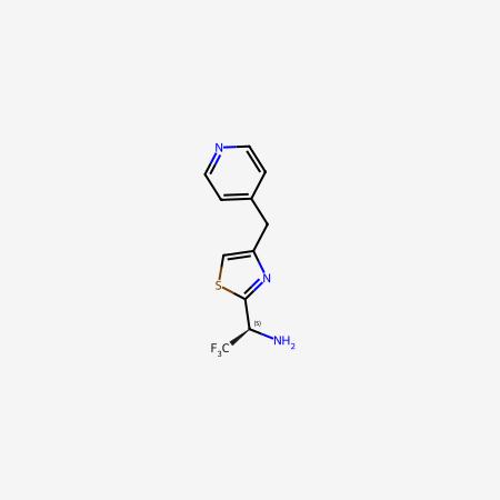 N[C@H](c1nc(Cc2ccncc2)cs1)C(F)(F)F